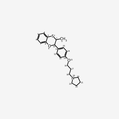 CC1Sc2ccccc2OC1c1ccc(OCCCN2CCCC2)cc1